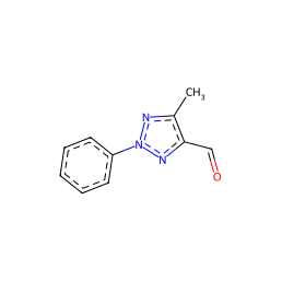 Cc1nn(-c2ccccc2)nc1C=O